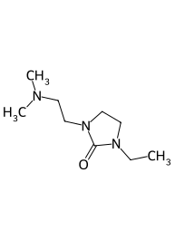 CCN1CCN(CCN(C)C)C1=O